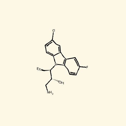 CC[C@H]([C@H](O)CN)n1c2ccc(F)cc2c2cc(Cl)ccc21